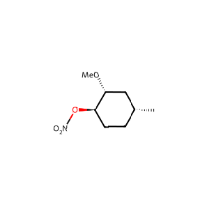 CO[C@@H]1C[C@H](C)CC[C@H]1O[N+](=O)[O-]